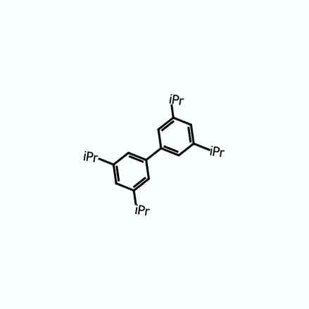 CC(C)c1cc(-c2cc(C(C)C)cc(C(C)C)c2)cc(C(C)C)c1